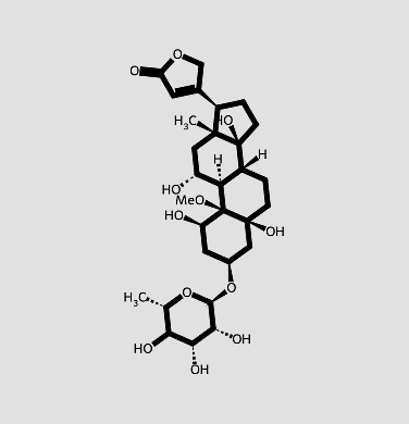 CO[C@@]12[C@H]3[C@H](O)C[C@]4(C)[C@@H](C5=CC(=O)OC5)CC[C@]4(O)[C@@H]3CC[C@]1(O)C[C@@H](O[C@@H]1O[C@@H](C)C(O)[C@@H](O)[C@H]1O)C[C@H]2O